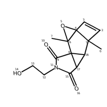 CC12C=CC13OC3(C)C13C(=O)N(CCO)C(=O)C1C23